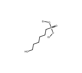 CCOP(=O)(CCCCCCO)OCC